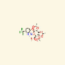 COC(=O)[C@H]1O[C@@H](Oc2ccc(C(F)(F)F)cc2N)[C@H](OC(C)=O)[C@@H](OC(C)=O)[C@@H]1OC(C)=O